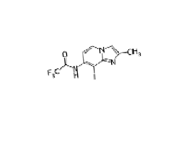 Cc1cn2ccc(NC(=O)C(F)(F)F)c(I)c2n1